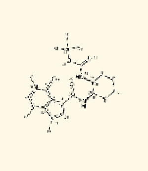 Cc1cn(C)c(=O)c2c(C(=O)N[C@@H]3CCCC[C@@H]3NC(=O)OC(C)(C)C)cn(C)c12